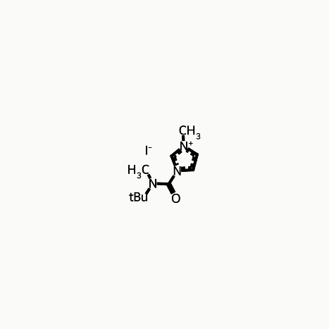 CN(C(=O)n1cc[n+](C)c1)C(C)(C)C.[I-]